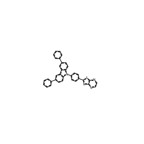 c1ccc(-c2ccc3c(c2)c2cc(-c4ccccc4)ccc2n3-c2ccc(-c3nc4nccnc4s3)cc2)cc1